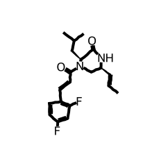 C/C=C/[C@H]1CN(C(=O)/C=C/c2ccc(F)cc2F)[C@@H](CC(C)C)C(=O)N1